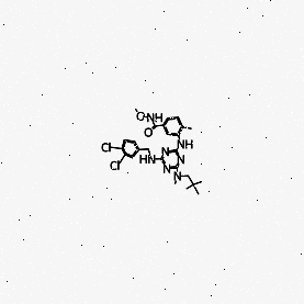 CONC(=O)c1ccc(C)c(Nc2nc(NCc3ccc(Cl)c(Cl)c3)nc(N(C)CC(C)(C)C)n2)c1